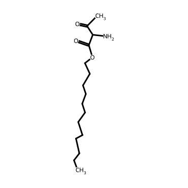 CCCCCCCCCCCCOC(=O)C(N)C(C)=O